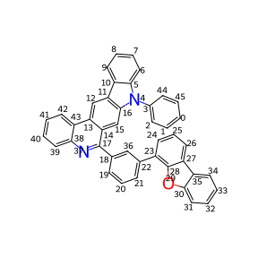 c1ccc(-n2c3ccccc3c3cc4c(cc32)c(-c2cccc(-c3cccc5c3oc3ccccc35)c2)nc2ccccc24)cc1